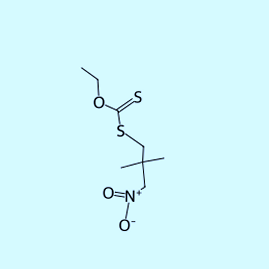 CCOC(=S)SCC(C)(C)C[N+](=O)[O-]